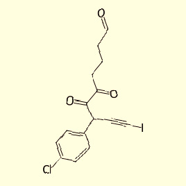 O=CCCCC(=O)C(=O)C(C#CI)c1ccc(Cl)cc1